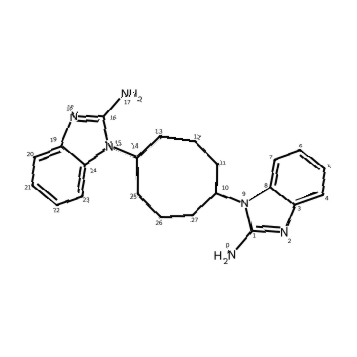 Nc1nc2ccccc2n1C1CCCC(n2c(N)nc3ccccc32)CCC1